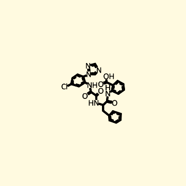 O=C(Nc1cc(Cl)ccc1-n1cncn1)C(=O)NC(Cc1ccccc1)C(=O)Nc1ccccc1C(=O)O